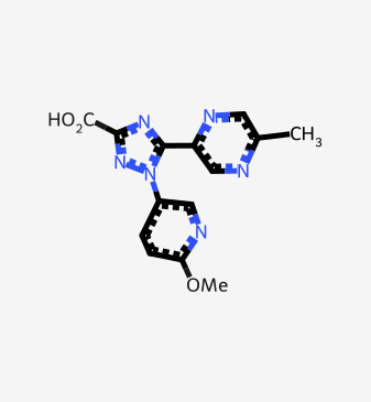 COc1ccc(-n2nc(C(=O)O)nc2-c2cnc(C)cn2)cn1